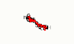 CCc1c[nH]c2ncc(-c3ccc(N4CCN(C(=O)CCOCCOCc5cn(-c6cccc7c6CN(C6CCC(=O)NC6=O)C7=O)nn5)CC4=O)cc3)c(Cl)c12